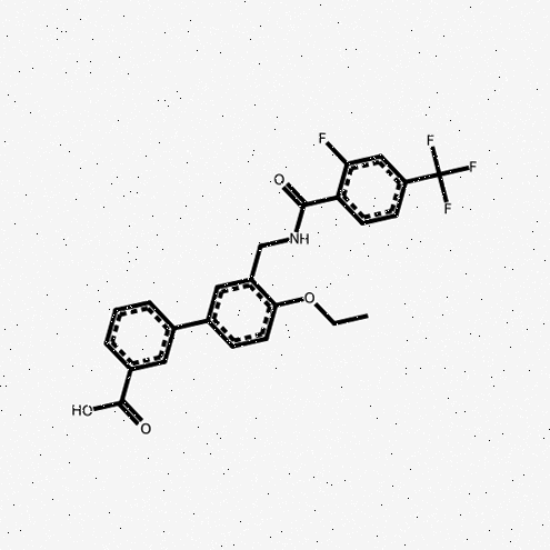 CCOc1ccc(-c2cccc(C(=O)O)c2)cc1CNC(=O)c1ccc(C(F)(F)F)cc1F